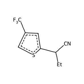 CCC(C#N)c1cc(C(F)(F)F)cs1